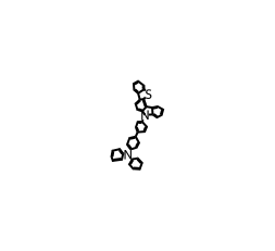 c1ccc(N(c2ccccc2)c2ccc(-c3ccc(-n4c5ccccc5c5c6sc7ccccc7c6ccc54)cc3)cc2)cc1